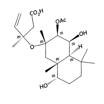 C=C[C@@](C)(CC(=O)O)O[C@@]1(C)C[C@@]2(C)[C@@H](O)CCC(C)(C)[C@@H]2[C@H](O)[C@@H]1OC(C)=O